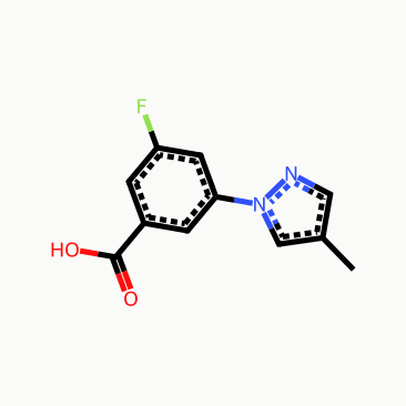 Cc1cnn(-c2cc(F)cc(C(=O)O)c2)c1